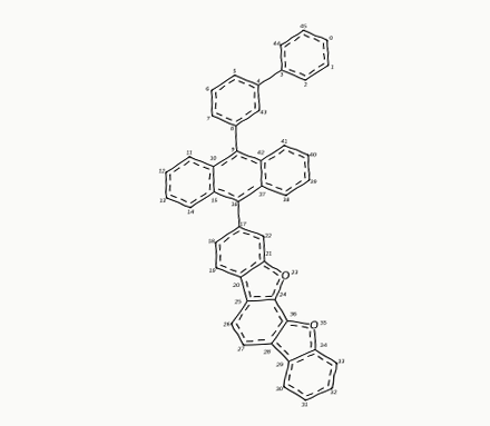 c1ccc(-c2cccc(-c3c4ccccc4c(-c4ccc5c(c4)oc4c5ccc5c6ccccc6oc54)c4ccccc34)c2)cc1